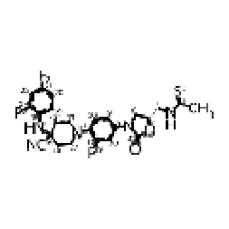 CC(=S)NC[C@H]1CN(c2ccc(N3CCC(C#N)(Nc4ccc(F)cc4F)CC3)c(F)c2)C(=O)O1